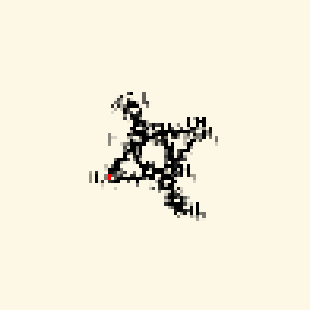 CCCCCCC1=C(C)c2nc1cc1[nH]c(c(C)c1CCCCCC)c(-c1ccc(C3OCC(C)(C)CO3)cc1)c1nc(cc3[nH]c(c(C)c3CCCCCC)c2-c2ccc(C3OCC(C)(C)CO3)cc2)C(CCCCCC)=C1C